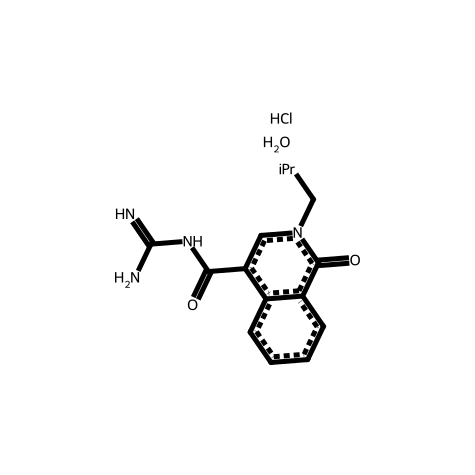 CC(C)Cn1cc(C(=O)NC(=N)N)c2ccccc2c1=O.Cl.O